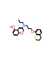 CCCN(CCCOc1cccc2c1SCCC2)C1=CC2C(OC)=CC=CC2OC1